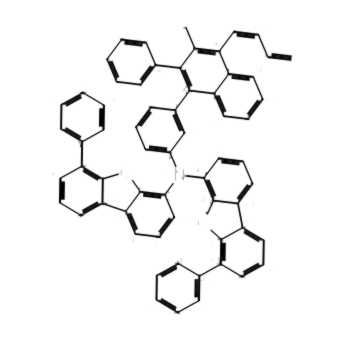 C=C/C=C\c1c(C)c(-c2ccccc2)c(-c2cccc(N(c3cccc4c3oc3c(-c5ccccc5)cccc34)c3cccc4c3oc3c(-c5ccccc5)cccc34)c2)c2ccccc12